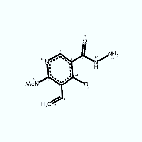 C=Cc1c(NC)ncc(C(=O)NN)c1Cl